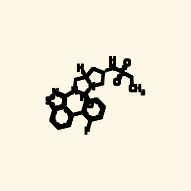 CCS(=O)(=O)N[C@H]1C[C@H]2CN(c3nsc4cccc(-c5c(F)cccc5F)c34)C(=O)N2C1